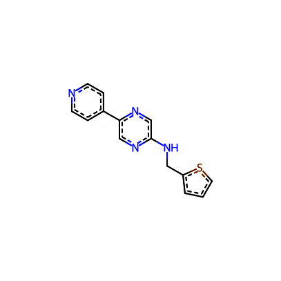 c1csc(CNc2cnc(-c3ccncc3)cn2)c1